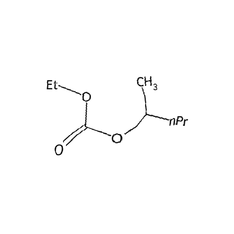 CCCC(C)OC(=O)OCC